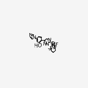 C[C@]12CCCC(N1)[C@H](F)[C@H](Oc1ncc(-c3ccc(-n4ccnc4)cc3O)nn1)C2